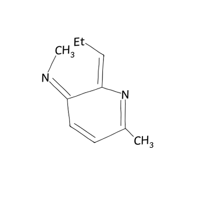 CC/C=C1/N=C(C)C=C/C1=N/C